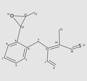 C=C/C(Cc1ccccc1C1OC1C)=C(/C)C=S